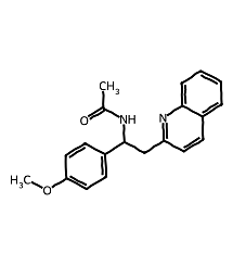 COc1ccc(C(Cc2ccc3ccccc3n2)NC(C)=O)cc1